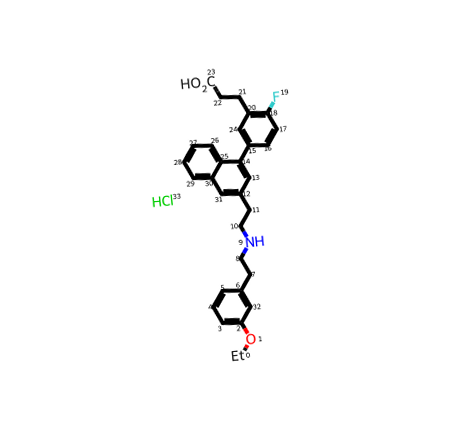 CCOc1cccc(CCNCCc2cc(-c3ccc(F)c(CCC(=O)O)c3)c3ccccc3c2)c1.Cl